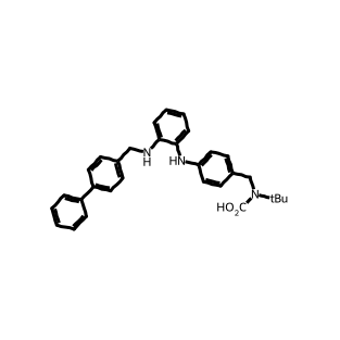 CC(C)(C)N(Cc1ccc(Nc2ccccc2NCc2ccc(-c3ccccc3)cc2)cc1)C(=O)O